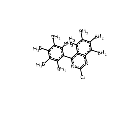 Bc1c(B)c(B)c(-c2nc(Cl)nc3c(B)c(B)c(B)c(B)c23)c(B)c1B